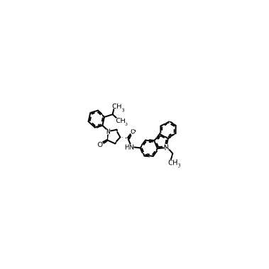 CCn1c2ccccc2c2cc(NC(=O)[C@@H]3CC(=O)N(c4ccccc4C(C)C)C3)ccc21